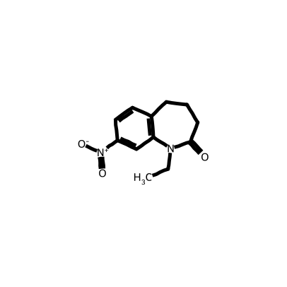 CCN1C(=O)CCCc2ccc([N+](=O)[O-])cc21